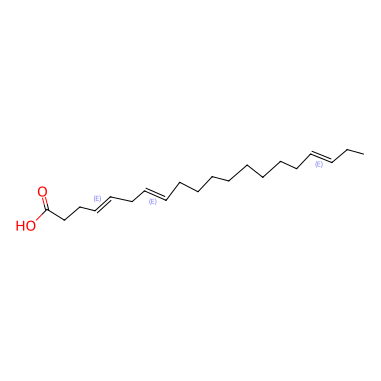 CC/C=C/CCCCCCCC/C=C/C/C=C/CCC(=O)O